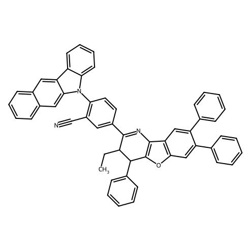 CCC1C(c2ccc(-n3c4ccccc4c4cc5ccccc5cc43)c(C#N)c2)=Nc2c(oc3cc(-c4ccccc4)c(-c4ccccc4)cc23)C1c1ccccc1